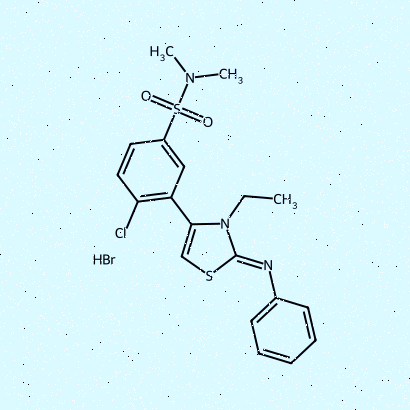 Br.CCn1c(-c2cc(S(=O)(=O)N(C)C)ccc2Cl)csc1=Nc1ccccc1